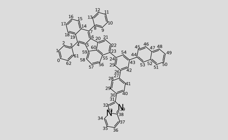 c1ccc(-c2c3c(c(-c4ccccc4)c4ccccc24)-c2ccc(-c4cc(-c5ccc(-c6cn7ccccc7n6)cc5)cc(-c5ccc6ccccc6c5)c4)c4cccc-3c24)cc1